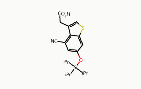 CC(C)[Si](Oc1cc(C#N)c2c(CC(=O)O)csc2c1)(C(C)C)C(C)C